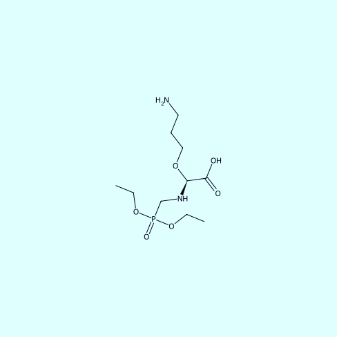 CCOP(=O)(CN[C@@H](OCCCN)C(=O)O)OCC